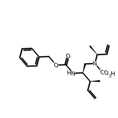 C=C[C@H](C)[C@H](CN(C(=O)O)[C@@H](C)C=C)NC(=O)OCc1ccccc1